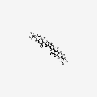 CCN(CC)c1ccc2c(C)c(-c3cc4sc5cc(-c6c(C)c7ccc(N(CC)CC)cc7oc6=O)sc5c4s3)c(=O)oc2c1